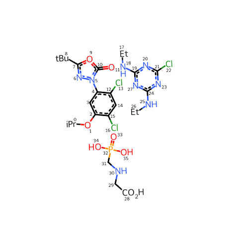 CC(C)Oc1cc(-n2nc(C(C)(C)C)oc2=O)c(Cl)cc1Cl.CCNc1nc(Cl)nc(NCC)n1.O=C(O)CNCP(=O)(O)O